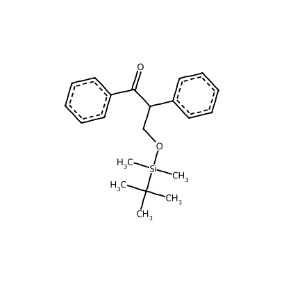 CC(C)(C)[Si](C)(C)OCC(C(=O)c1ccccc1)c1ccccc1